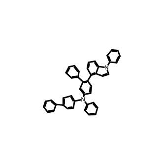 c1ccc(-c2ccc(N(c3ccccc3)c3ccc(-c4cccc5c4ccn5-c4ccccc4)c(-c4ccccc4)c3)cc2)cc1